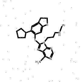 CC(C)NCCCn1c(Sc2cc3c(cc2C2CCCC2)CCS3)nc2c(N)ncnc21